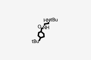 CC(C)(C)CC1CCC(C(=O)NCCNC(C)(C)C)CC1